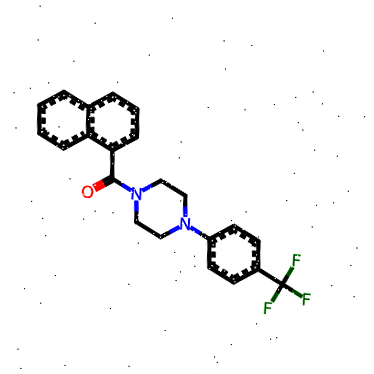 O=C(c1cccc2ccccc12)N1CCN(c2ccc(C(F)(F)F)cc2)CC1